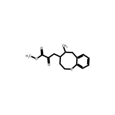 COC(=O)C(=O)CC1CCSc2ccccc2CC1C